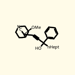 CCCCCCCC(O)(C#C[C@@]1(OC)CN2CCC1CC2)c1ccccc1